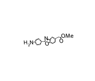 COC(=O)Cc1ccc2oc(-c3ccc(N)cc3)nc2c1